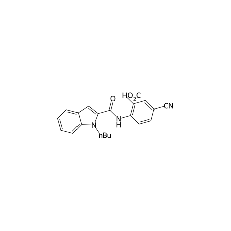 CCCCn1c(C(=O)Nc2ccc(C#N)cc2C(=O)O)cc2ccccc21